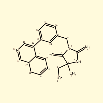 CC(C)CC1(C)NC(=N)N(Cc2cccc(C3=CN=CC4CC=CC=C34)c2)C1=O